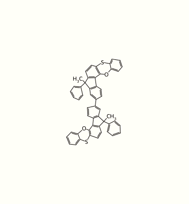 CC1(c2ccccc2)c2cc(-c3ccc4c(c3)C(C)(c3ccccc3)c3ccc5c(c3-4)Oc3ccccc3S5)ccc2-c2c1ccc1c2Oc2ccccc2S1